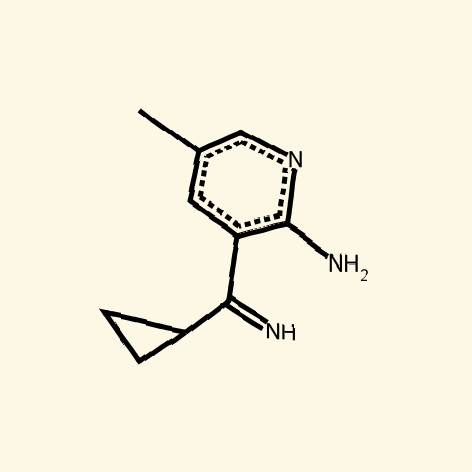 Cc1cnc(N)c(C(=N)C2CC2)c1